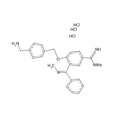 CN=C(c1ccccc1)c1cc(C(=N)NC)ccc1OCc1ccc(CN)cc1.Cl.Cl.Cl